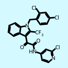 O=C(Nc1ccnc(Cl)c1)C(=O)c1c(C(F)(F)F)n(Cc2ccc(Cl)cc2Cl)c2ccccc12